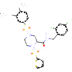 COc1ccc(S(=O)(=O)N2CCN(S(=O)(=O)c3cccs3)C(C(=O)NCc3ccc(Cl)cc3Cl)C2)cc1OC